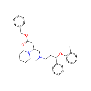 Cc1ccccc1OC(CCN(C)CC(CC(=O)OCc1ccccc1)N1CCCCC1)c1ccccc1